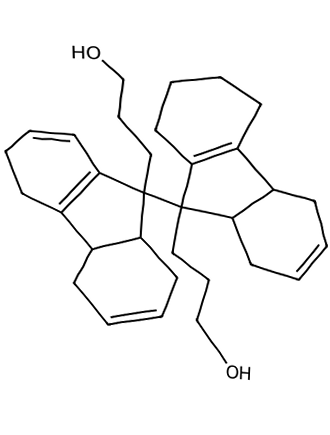 OCCCC1(C2(CCCO)C3=C(CCCC3)C3CC=CCC32)C2=C(CCC=C2)C2CC=CCC21